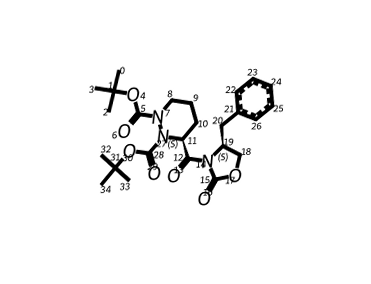 CC(C)(C)OC(=O)N1CCC[C@@H](C(=O)N2C(=O)OC[C@@H]2Cc2ccccc2)N1C(=O)OC(C)(C)C